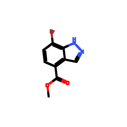 COC(=O)c1ccc(Br)c2[nH]ncc12